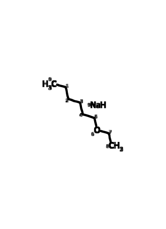 CCCCCCOCC.[NaH]